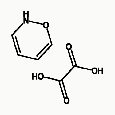 C1=CNOC=C1.O=C(O)C(=O)O